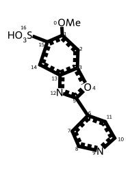 COc1cc2oc(-c3ccncc3)nc2cc1S(=O)(=O)O